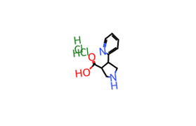 Cl.Cl.O=C(O)C1CNCC1c1ccccn1